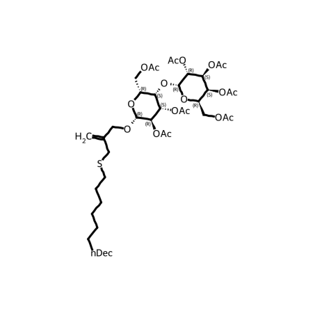 C=C(CO[C@@H]1O[C@H](COC(C)=O)[C@H](O[C@H]2O[C@H](COC(C)=O)[C@H](OC(C)=O)[C@H](OC(C)=O)[C@H]2OC(C)=O)[C@H](OC(C)=O)[C@H]1OC(C)=O)CSCCCCCCCCCCCCCCCC